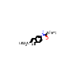 CCCCCC(=O)Nc1ccc2[se]c(C(=O)OCC)cc2c1